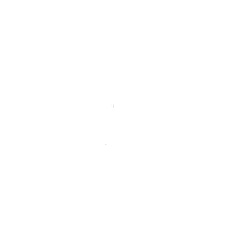 COON1C2=C1CC(C)(C)C2